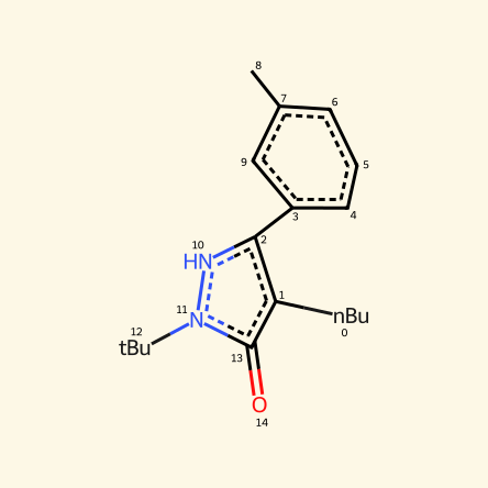 CCCCc1c(-c2cccc(C)c2)[nH]n(C(C)(C)C)c1=O